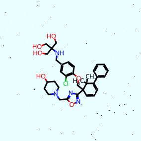 CC1(C)C(c2ccccc2)=CC=CC1(COc1ccc(CNC(CO)(CO)CO)cc1Cl)c1noc(CN2CCC(O)CC2)n1